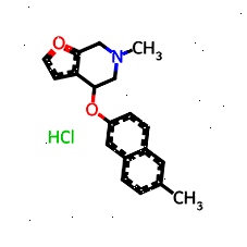 Cc1ccc2cc(OC3CN(C)Cc4occc43)ccc2c1.Cl